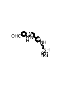 CC(C)(C)OC(=O)NCCCNc1ccc(-c2ccnc(Nc3cccc(C=O)c3)n2)cn1